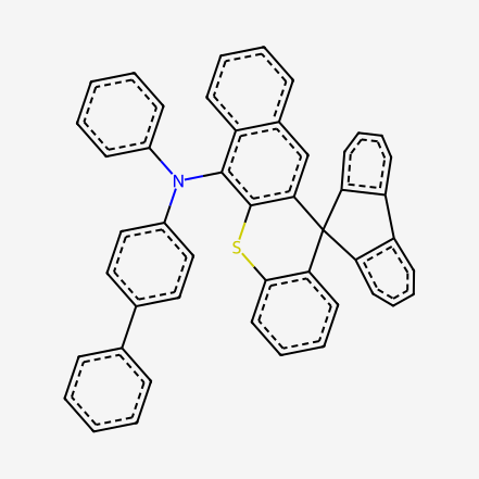 c1ccc(-c2ccc(N(c3ccccc3)c3c4c(cc5ccccc35)C3(c5ccccc5S4)c4ccccc4-c4ccccc43)cc2)cc1